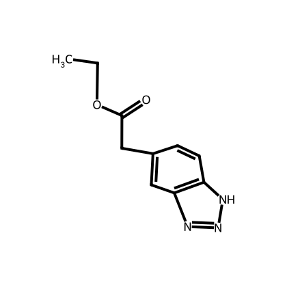 CCOC(=O)Cc1ccc2[nH]nnc2c1